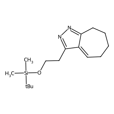 CC(C)(C)[Si](C)(C)OCCC1=NN=C2CCCCC=C21